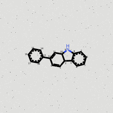 C1=CC2c3ccccc3NC2C=C1c1ccccc1